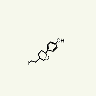 Oc1ccc(C2CCC(CCI)CO2)cc1